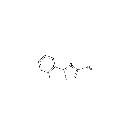 Cc1ccccc1-c1nc(N)cs1